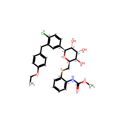 CCOc1ccc(Cc2cc([C@@H]3O[C@H](CSc4ccccc4NC(=O)OC)[C@H](O)[C@@H](O)[C@H]3O)ccc2Cl)cc1